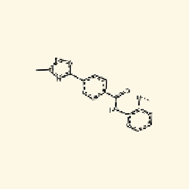 Cc1nc(-c2ccc(C(=O)Nc3ccccc3N)cc2)no1